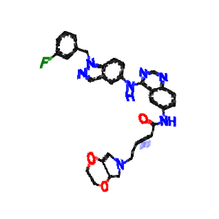 O=C(/C=C/CN1CC2OCCOC2C1)Nc1ccc2ncnc(Nc3ccc4c(cnn4Cc4cccc(F)c4)c3)c2c1